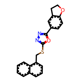 c1ccc2c(CSc3nnc(-c4ccc5c(c4)CCO5)o3)cccc2c1